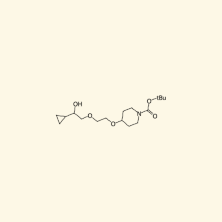 CC(C)(C)OC(=O)N1CCC(OCCOCC(O)C2CC2)CC1